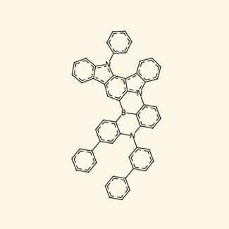 c1ccc(-c2cccc(N3c4cc(-c5ccccc5)ccc4B4c5c3cccc5-n3c5ccccc5c5c3c4cc3c4ccccc4n(-c4ccccc4)c35)c2)cc1